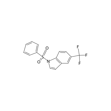 O=S(=O)(c1ccccc1)n1ccc2cc(C(F)(F)F)ccc21